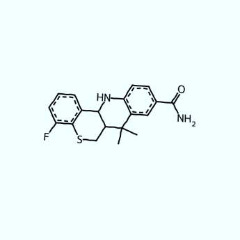 CC1(C)c2cc(C(N)=O)ccc2NC2c3cccc(F)c3SCC21